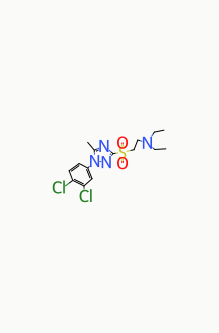 CCN(CC)CCS(=O)(=O)c1nc(C)n(-c2ccc(Cl)c(Cl)c2)n1